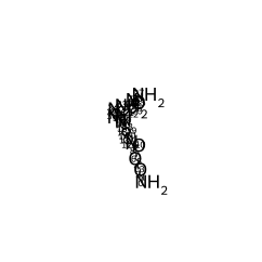 NCCOCCOCCC(=O)N1CCc2cc(Cn3nc(-c4ccc5oc(N)nc5c4)c4c(N)ncnc43)ccc2C1